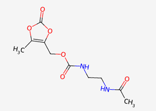 CC(=O)NCCNC(=O)OCc1oc(=O)oc1C